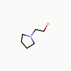 [O]CCN1CCCC1